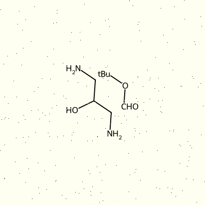 CC(C)(C)OC=O.NCC(O)CN